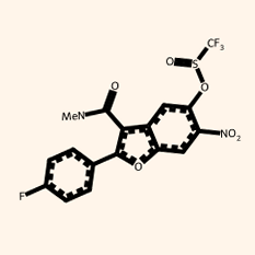 CNC(=O)c1c(-c2ccc(F)cc2)oc2cc([N+](=O)[O-])c(OS(=O)C(F)(F)F)cc12